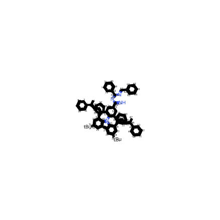 C/C(=C\C=C(/C)c1ccccc1)C1=C(n2c3c(-c4ccccc4)cc(C(C)(C)C)cc3c3cc(C(C)(C)C)cc(C4C=CC=CC4)c32)C(/C(C)=C/C=C(\C)c2ccccc2)CC(C(=N)/N=C(\N=C\c2ccccc2)c2ccccc2)=C1